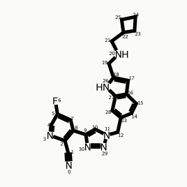 N#Cc1ncc(F)cc1-c1cn(Cc2ccc3cc(CNCC4CCC4)[nH]c3c2)nn1